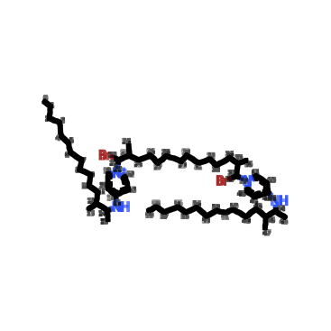 CCCCCCCCCCCCC(C)C(C)Nc1cc[n+](C(Br)C(C)CCCCCCCCCCC(C)C(Br)[n+]2ccc(NC(C)C(C)CCCCCCCCCCCC)cc2)cc1